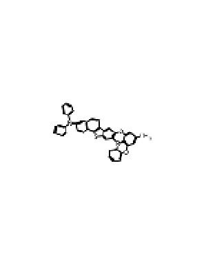 Cc1cc2c3c(c1)Oc1cc4c(cc1B3c1ccccc1O2)sc1c2ccc(N(c3ccccc3)c3ccccc3)cc2ccc41